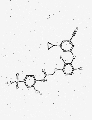 Cc1cc(S(N)(=O)=O)ccc1NC(=O)COc1ccc(Cl)c(Oc2cc(C#N)cc(C3CC3)c2)c1F